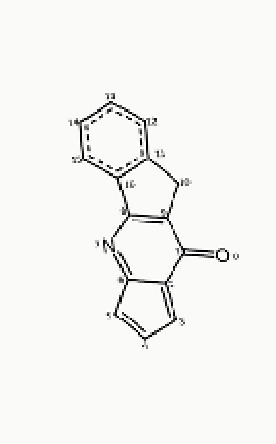 O=C1C2=CC=CC2=NC2=C1Cc1ccccc12